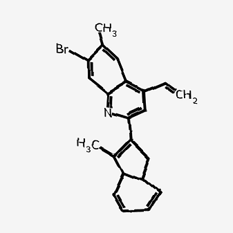 C=Cc1cc(C2=C(C)C3C=CC=CC3C2)nc2cc(Br)c(C)cc12